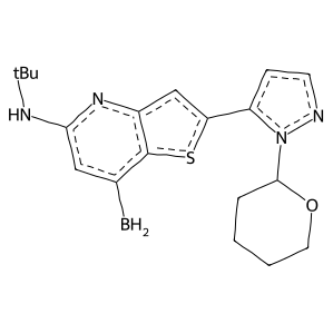 Bc1cc(NC(C)(C)C)nc2cc(-c3ccnn3C3CCCCO3)sc12